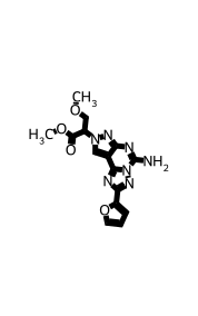 COCC(C(=O)OC)n1cc2c(nc(N)n3nc(-c4ccco4)nc23)n1